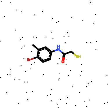 Cc1cc(NC(=O)CS)ccc1Br